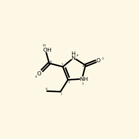 CCc1[nH]c(=O)[nH]c1C(=O)O